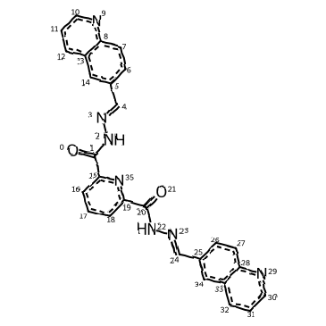 O=C(NN=Cc1ccc2ncccc2c1)c1cccc(C(=O)NN=Cc2ccc3ncccc3c2)n1